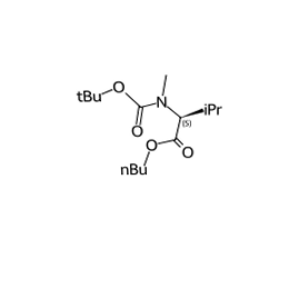 CCCCOC(=O)[C@H](C(C)C)N(C)C(=O)OC(C)(C)C